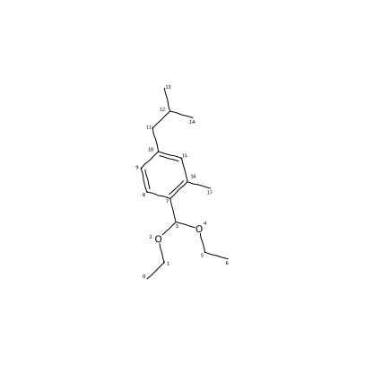 CCOC(OCC)c1ccc(CC(C)C)cc1C